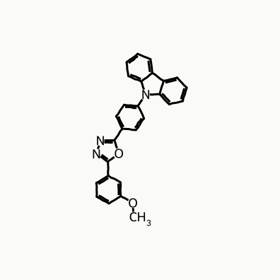 COc1cccc(-c2nnc(-c3ccc(-n4c5ccccc5c5ccccc54)cc3)o2)c1